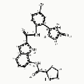 O=C(Nc1ccc(Br)cc1-c1noc(=O)[nH]1)c1cc2cccc(NC(=O)C3CCCN3)c2[nH]1